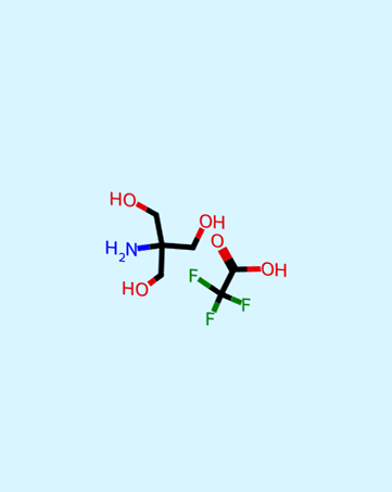 NC(CO)(CO)CO.O=C(O)C(F)(F)F